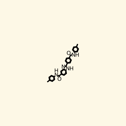 Cc1ccc(NC(=O)c2ccc(-c3nc4cc(C(=O)Nc5ccc(C)cc5)ccc4[nH]3)cc2)cc1